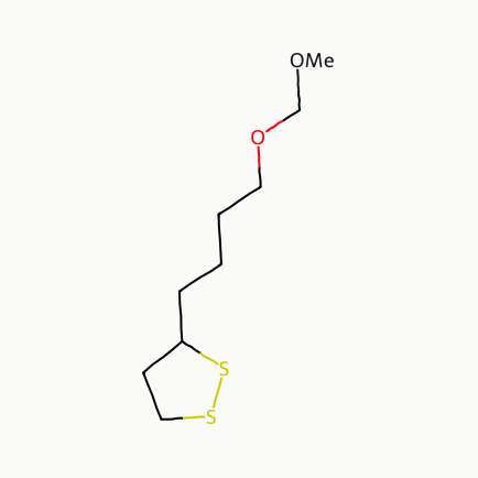 COCOCCCCC1CCSS1